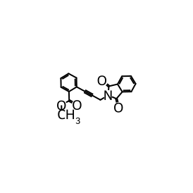 COC(=O)c1ccccc1C#CCN1C(=O)c2ccccc2C1=O